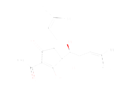 CCC(C)C(=O)C1=C(O)[C@](O)([C@@H](O)CC=C(C)C)[C@@H](CC=C(C)C)C1=O